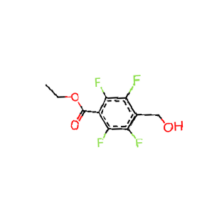 CCOC(=O)c1c(F)c(F)c(CO)c(F)c1F